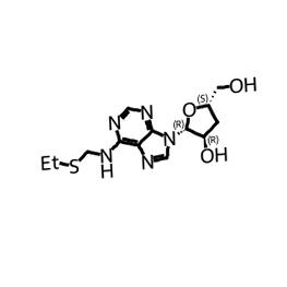 CCSCNc1ncnc2c1ncn2[C@@H]1O[C@H](CO)C[C@H]1O